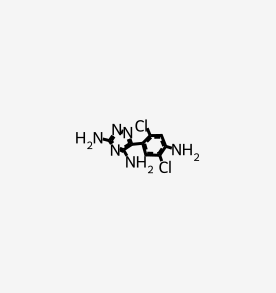 Nc1nnc(-c2cc(Cl)c(N)cc2Cl)c(N)n1